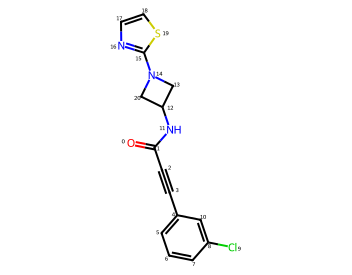 O=C(C#Cc1cccc(Cl)c1)NC1CN(c2nccs2)C1